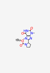 Cn1c(C2CCCN2C(=O)OC(C)(C)C)nc2c1c(=O)[nH]c(=O)n2C